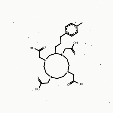 Cc1ccc(CCCC2CN(CC(=O)O)CCN(CC(=O)O)CCN(CC(=O)O)CCN2CC(=O)O)cc1